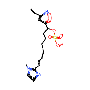 Cc1cc(C(CCCCCCc2nccn2C)OS(=O)(=O)O)on1